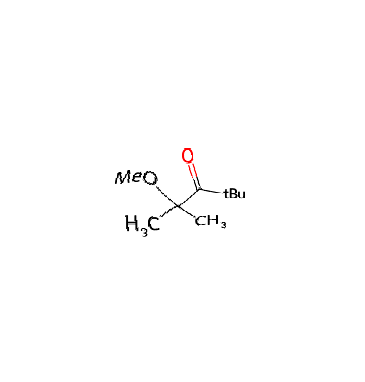 COC(C)(C)C(=O)C(C)(C)C